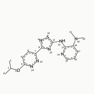 CC(C)Oc1ccc(-c2nsc(Nc3ncccc3N(C)C)n2)nn1